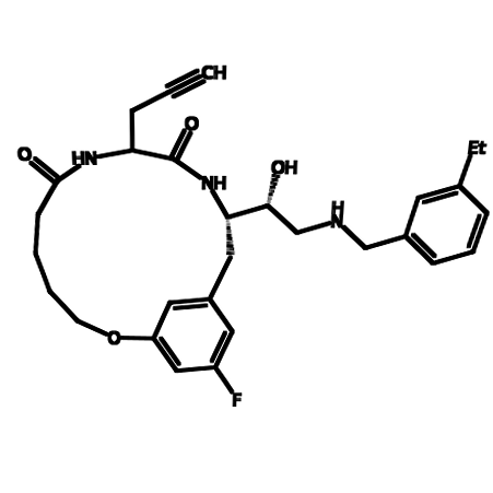 C#CCC1NC(=O)CCCCOc2cc(F)cc(c2)C[C@@H]([C@H](O)CNCc2cccc(CC)c2)NC1=O